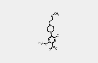 COCCN1CCN(c2cc(OC)c([N+](=O)[O-])cc2Cl)CC1